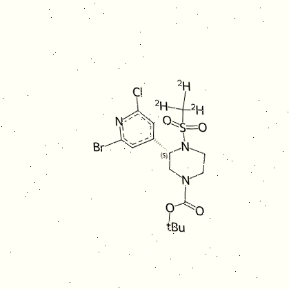 [2H]C([2H])([2H])S(=O)(=O)N1CCN(C(=O)OC(C)(C)C)C[C@@H]1c1cc(Cl)nc(Br)c1